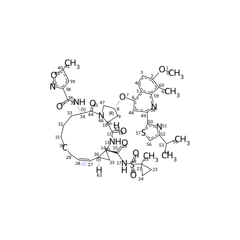 COc1ccc2c(O[C@@H]3C[C@H]4C(=O)N[C@]5(C(=O)NS(=O)(=O)C6(C)CC6)C[C@H]5/C=C\CCCCC[C@H](NC(=O)c5cc(C)on5)C(=O)N4C3)cc(-c3nc(C(C)C)cs3)nc2c1C